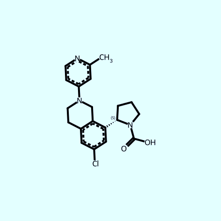 Cc1cc(N2CCc3cc(Cl)cc([C@@H]4CCCN4C(=O)O)c3C2)ccn1